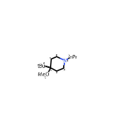 CCCN1CCC(OC)(C(C)(C)C)CC1